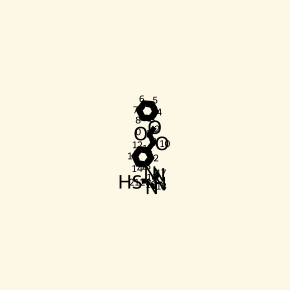 O=C(Oc1ccccc1)C(=O)c1cccc(-n2nnnc2S)c1